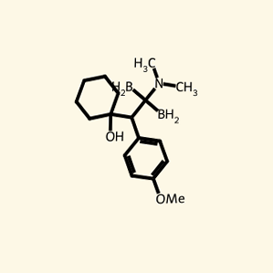 BC(B)(C(c1ccc(OC)cc1)C1(O)CCCCC1)N(C)C